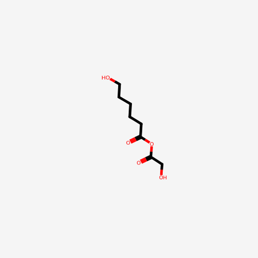 O=C(CO)OC(=O)CCCCCO